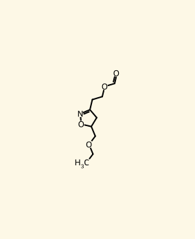 CCOCC1CC(CCOC=O)=NO1